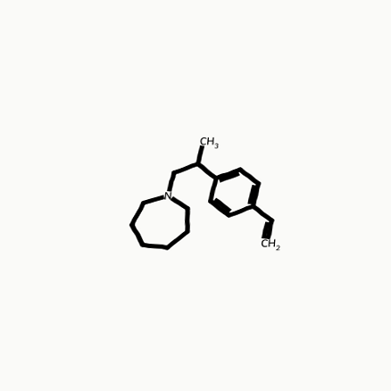 C=Cc1ccc(C(C)CN2CCCCCC2)cc1